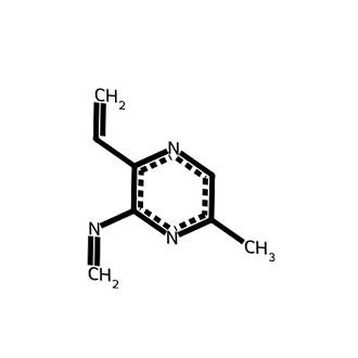 C=Cc1ncc(C)nc1N=C